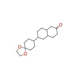 O=C1CCC2CC(C3CCC4(CC3)OCCO4)CCC2C1